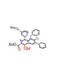 COC(=O)c1nc(-c2cncc(OC)c2)c2c(cc(-c3ccccc3)c(=O)n2Cc2ccccc2)c1O